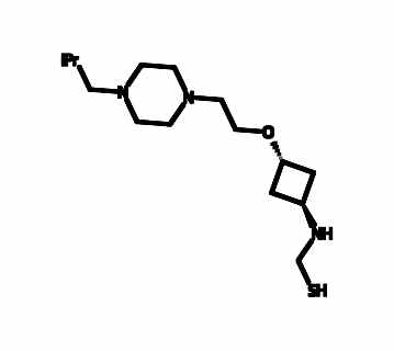 CC(C)CN1CCN(CCO[C@H]2C[C@H](NCS)C2)CC1